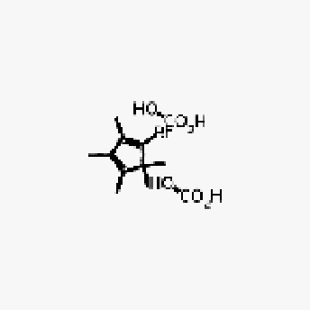 CC1=C(C)C(C)(C)[C]([Rh])=C1C.O=C(O)O.O=C(O)O